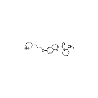 CC1CCCCN1C(=O)c1ccc2cc(OCCCC3CCCNC3)ccc2n1